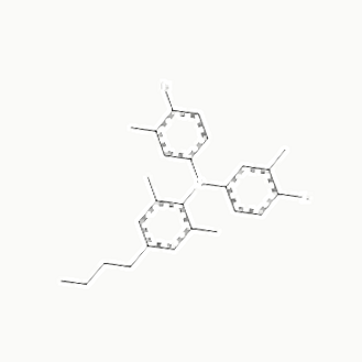 CCCCc1cc(C)c(N(c2ccc(Br)c(C)c2)c2ccc(Br)c(C)c2)c(C)c1